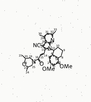 COc1ccc2c(c1OC)CCCC2n1c(C=CC(=O)N2CC(C)OC(C)C2)c(C#N)c2c(C)cc(C)nc21